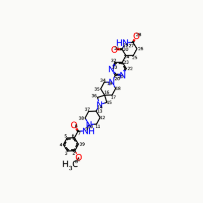 COc1cccc(C(=O)NN2CCC(N3CC4(CCN(c5ncc(C6CCC(=O)NC6=O)cn5)CC4)C3)CC2)c1